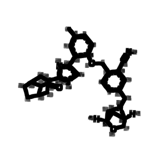 Cc1ccc(OCc2ccc(CN3C[C@@H]4C[C@H]3CO4)cc2C#N)c(-c2csc(N3CC4CCC(C3)C4C=O)n2)c1